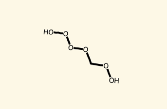 OOCOOOO